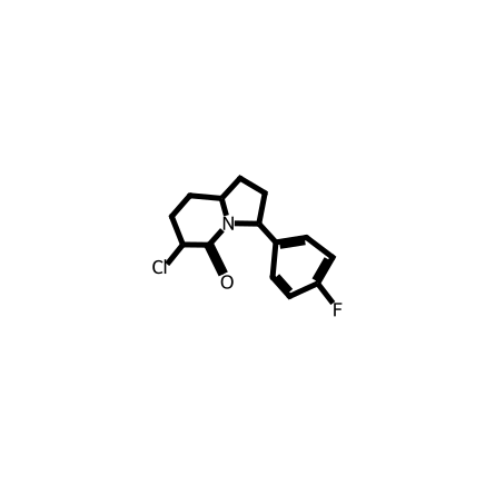 O=C1C(Cl)CCC2CCC(c3ccc(F)cc3)N12